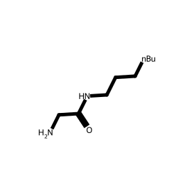 CCCCCCCNC(=O)CN